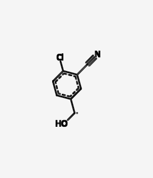 N#Cc1cc([CH]O)ccc1Cl